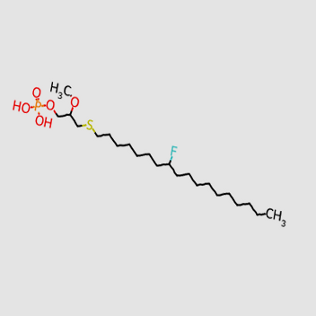 CCCCCCCCCCC(F)CCCCCCCSCC(COP(=O)(O)O)OC